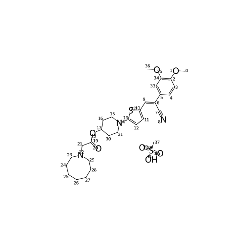 COc1ccc(/C(C#N)=C/c2ccc(N3CCC(OC(=O)CN4CCCCCCC4)CC3)s2)cc1OC.CS(=O)(=O)O